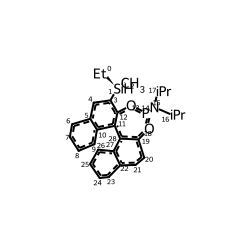 CC[Si@@H](C)c1cc2ccccc2c2c1op(N(C(C)C)C(C)C)oc1ccc3ccccc3c12